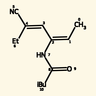 C/C=C(\C=C(\C#N)CC)NC(=O)C(C)CC